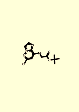 CC(C)(C)OC(=O)CNc1cc(Cl)nn2ccnc12